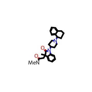 CNC(=O)CC1(C)C(=O)N(C2CCN(C3CCCc4ccccc43)CC2)c2ccccc21